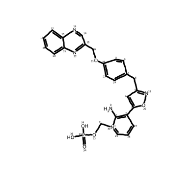 Nc1c(-c2cc(Cc3ccc(OCc4cnc5ccccc5n4)cc3)no2)ccc[n+]1COP(=O)(O)O